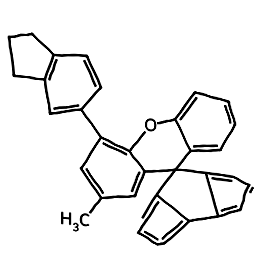 Cc1cc(-c2ccc3c(c2)CCC3)c2c(c1)C1(c3ccccc3O2)c2ccccc2-c2ccccc21